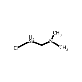 CN(C)C[SiH2]Cl